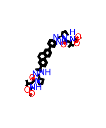 COC(=O)N[C@H](C(=O)N1CCC[C@H]1c1ncc(-c2ccc3c(c2)CCc2cc(-c4ccc5nc([C@@H]6CCCN6C(=O)[C@@H](NC(=O)OC)C(C)C)[nH]c5c4)ccc2-3)[nH]1)C(C)C